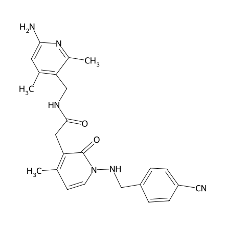 Cc1cc(N)nc(C)c1CNC(=O)Cc1c(C)ccn(NCc2ccc(C#N)cc2)c1=O